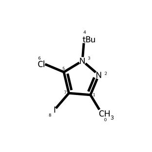 Cc1nn(C(C)(C)C)c(Cl)c1I